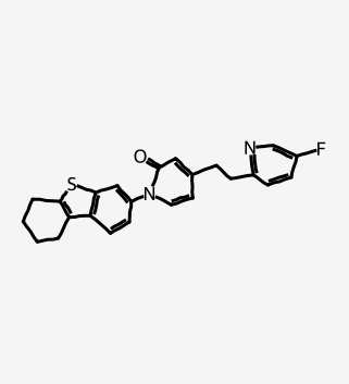 O=c1cc(CCc2ccc(F)cn2)ccn1-c1ccc2c3c(sc2c1)CCCC3